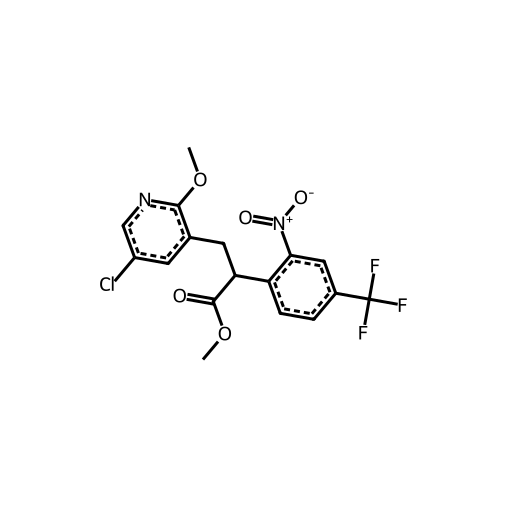 COC(=O)C(Cc1cc(Cl)cnc1OC)c1ccc(C(F)(F)F)cc1[N+](=O)[O-]